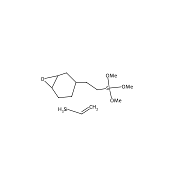 C=C[SiH3].CO[Si](CCC1CCC2OC2C1)(OC)OC